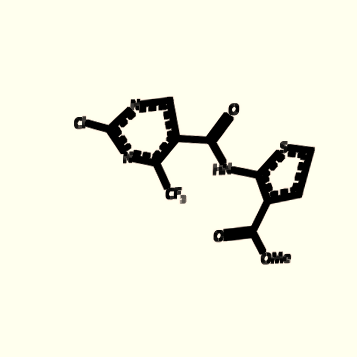 COC(=O)c1ccsc1NC(=O)c1cnc(Cl)nc1C(F)(F)F